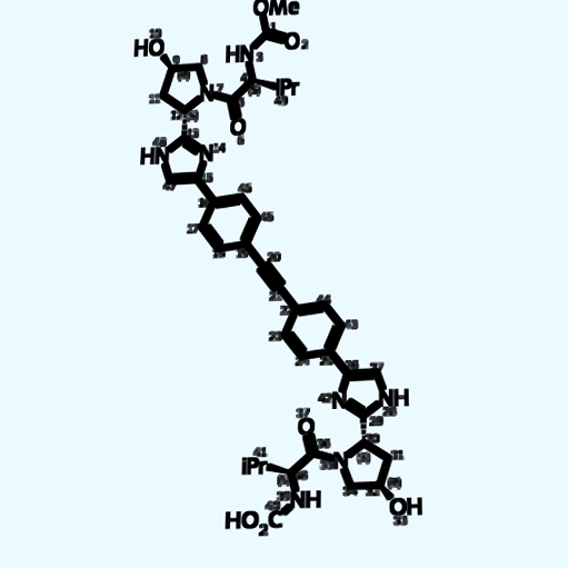 COC(=O)N[C@H](C(=O)N1C[C@H](O)C[C@H]1c1nc(-c2ccc(C#Cc3ccc(-c4c[nH]c([C@@H]5C[C@@H](O)CN5C(=O)[C@@H](NC(=O)O)C(C)C)n4)cc3)cc2)c[nH]1)C(C)C